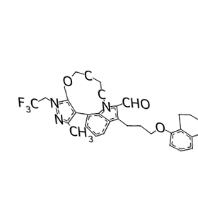 Cc1nn(CC(F)(F)F)c2c1-c1cccc3c(CCCOc4cccc5c4CCCC5)c(C=O)n(c13)CCCCOC2